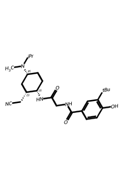 CC(C)N(C)[C@@H]1CC[C@H](NC(=O)CNC(=O)c2ccc(O)c(C(C)(C)C)c2)[C@H](CC#N)C1